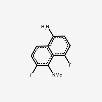 CNc1c(F)ccc2c(N)ccc(F)c12